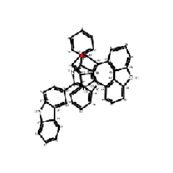 c1ccc(-c2nc(-c3ccc4sc5ccccc5c4c3)nc(-c3cccc4oc5cccc(-c6cccc7c6sc6ccccc67)c5c34)n2)cc1